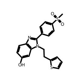 CS(=O)(=O)c1ccc(-c2nc3ccc(O)cc3n2CCc2cccs2)cc1